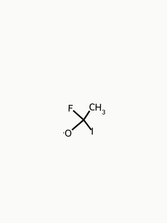 CC([O])(F)I